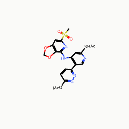 COc1ccc(-c2cnc(NC(C)=O)cc2Nc2nc(S(C)(=O)=O)cc3c2OCO3)nn1